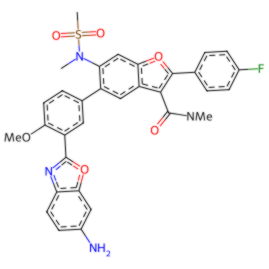 CNC(=O)c1c(-c2ccc(F)cc2)oc2cc(N(C)S(C)(=O)=O)c(-c3ccc(OC)c(-c4nc5ccc(N)cc5o4)c3)cc12